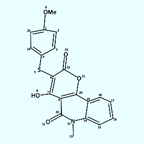 COc1ccc(Sc2c(O)c3c(=O)n(C)c4ccccc4c3oc2=O)cc1